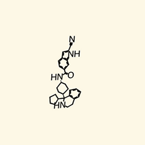 N#Cc1cc2ccc(C(=O)N[C@H]3CC[C@H](C4(C5CCCC5)NCCc5ccccc54)CC3)cc2[nH]1